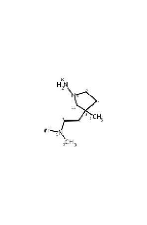 CC(C)N(C)CCC1(C)CCN(N)C1